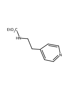 CCOC(=O)NCCc1ccncc1